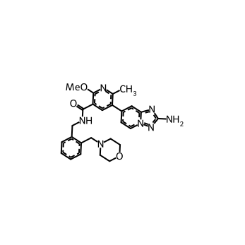 COc1nc(C)c(-c2ccn3nc(N)nc3c2)cc1C(=O)NCc1ccccc1CN1CCOCC1